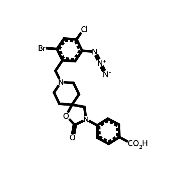 [N-]=[N+]=Nc1cc(CN2CCC3(CC2)CN(c2ccc(C(=O)O)cc2)C(=O)O3)c(Br)cc1Cl